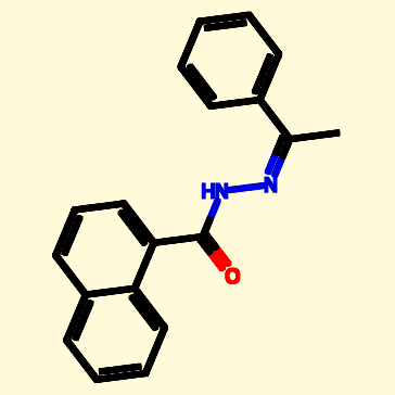 C/C(=N/NC(=O)c1cccc2ccccc12)c1ccccc1